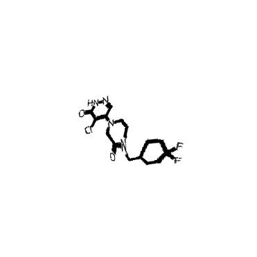 O=C1CN(c2cn[nH]c(=O)c2Cl)CCN1CC1CCC(F)(F)CC1